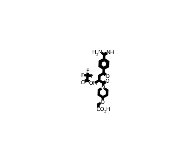 CC(CC(=O)c1ccc(C(=N)N)cc1)C(=O)N1CCC(OCC(=O)O)CC1.O=C(O)C(F)(F)F